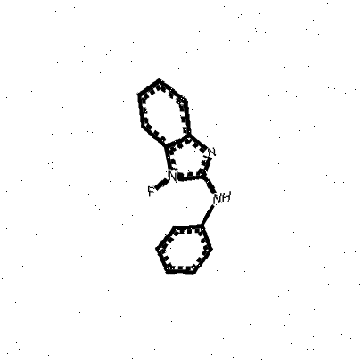 Fn1c(Nc2ccccc2)nc2ccccc21